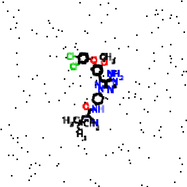 COc1cc(-c2nn(C3CCC(NC(=O)/C(C#N)=C/C(C)(C)C)CC3)c3ncnc(N)c23)ccc1Oc1ccc(Cl)c(Cl)c1